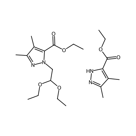 CCOC(=O)c1[nH]nc(C)c1C.CCOC(=O)c1c(C)c(C)nn1CC(OCC)OCC